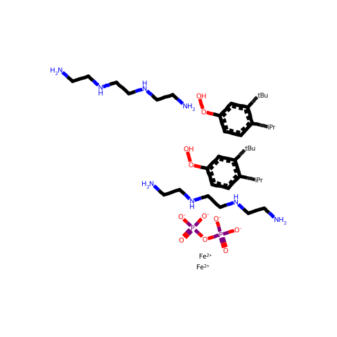 CC(C)c1ccc(OO)cc1C(C)(C)C.CC(C)c1ccc(OO)cc1C(C)(C)C.NCCNCCNCCN.NCCNCCNCCN.O=P([O-])([O-])OP(=O)([O-])[O-].[Fe+2].[Fe+2]